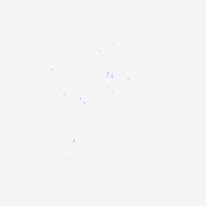 Cc1cc(N(c2ccc3c(c2)sc2cc4c(cc23)C(C)(C)CCC4(C)C)c2cc3c(cc2C)C(C)(C)CCC3(C)C)cc(N(c2ccc3c(c2)C(C)(C)CCC3(C)C)c2cccc3c2sc2ccccc23)c1